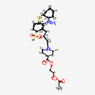 CC(C)C(=O)OCCOC(=O)C1CCN(CCCc2c(S(C)(=O)=O)ccc3c2Nc2ccccc2S3)CC1